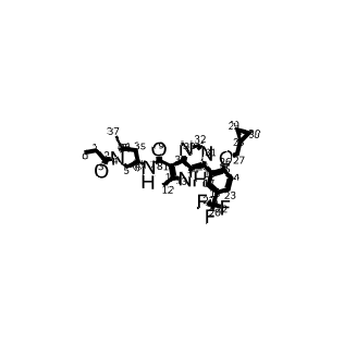 CCC(=O)N1C[C@H](NC(=O)c2c(C)[nH]c3c(-c4cc(C(F)(F)F)ccc4OCC4CC4)ncnc23)C[C@@H]1C